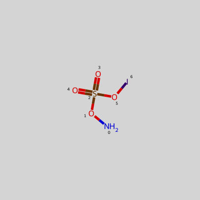 NOS(=O)(=O)OI